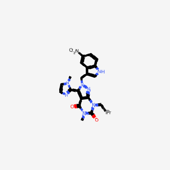 CC(C)Cn1c(=O)n(C)c(=O)c2c(-c3nccn3C)n(Cc3c[nH]c4ccc([N+](=O)[O-])cc34)nc21